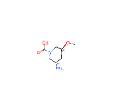 CO[C@H]1C[C@@H](N)CN(C(=O)O)C1